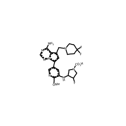 COc1ncc(-c2cc(CN3CCC(F)(F)CC3)c3c(N)ncnn23)cc1NC1CN(C(=O)O)CC1F